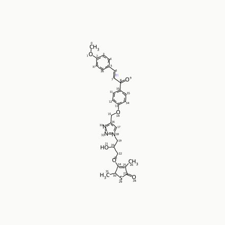 COc1ccc(/C=C/C(=O)c2ccc(OCc3cn(CC(O)COC4=C(C)C(=O)SC4C)nn3)cc2)cc1